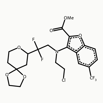 COC(=O)c1oc2ccc(C(F)(F)F)cc2c1N(CCCl)CC(F)(F)C1CC2(CCO1)OCCO2